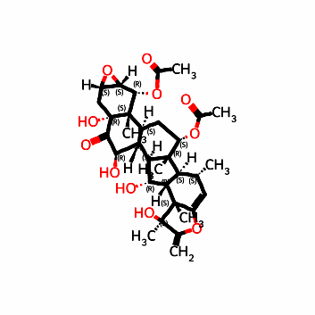 C=C1OC2=C[C@@H](C)[C@H]3[C@@H]([C@H](O)[C@H]4[C@@H]5[C@@H](O)C(=O)[C@@]6(O)C[C@@H]7O[C@@H]7[C@H](OC(C)=O)[C@]6(C)[C@H]5C[C@H](OC(C)=O)[C@]34C)[C@@]2(C)[C@]1(C)O